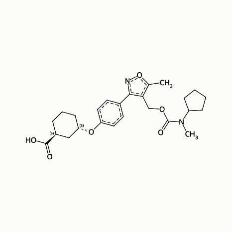 Cc1onc(-c2ccc(O[C@H]3CCC[C@H](C(=O)O)C3)cc2)c1COC(=O)N(C)C1CCCC1